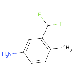 Cc1ccc(N)cc1C(F)F